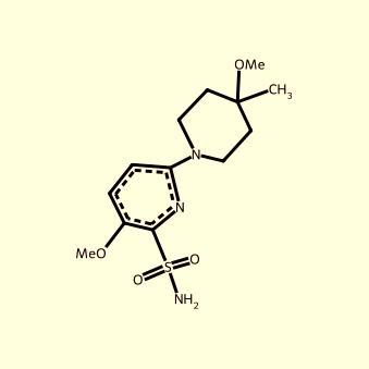 COc1ccc(N2CCC(C)(OC)CC2)nc1S(N)(=O)=O